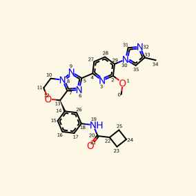 COc1nc(-c2nc3n(n2)CCO[C@@H]3c2cccc(NC(=O)C3CCC3)c2)ccc1-n1cnc(C)c1